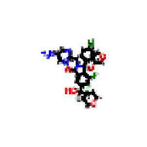 CCC(O)(c1cc(F)c2c(c1)C(=O)N(Cc1ncc(N)cn1)[C@@]2(O[C@H]1CCOC1)c1ccc(Cl)cc1)C1(F)CCOCC1